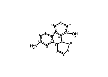 Nc1cccc(C2C=CCCC2c2ccccc2O)c1